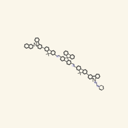 CC1(C)c2cc(/C=C/c3ccc4c(c3)C3(c5ccccc5-c5ccccc53)c3cc(/C=C/c5ccc6c(c5)C(C)(C)c5cc(-c7ccc8c(c7)c7ccccc7n8-c7ccc8ccccc8c7)ccc5-6)ccc3-4)ccc2-c2ccc(-c3ccc4c(c3)c3ccccc3n4/C=C/C=C3/C=CC=CC3)cc21